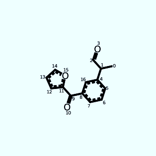 CC(C=O)c1cccc(C(=O)c2ccco2)c1